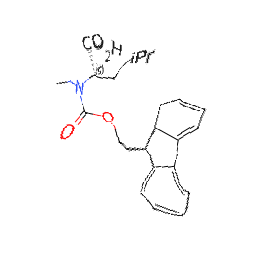 CC(C)C[C@@H](C(=O)O)N(C)C(=O)OCC1c2ccccc2C2=CC=CCC21